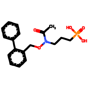 CC(=O)N(CCCP(=O)(O)O)OCc1ccccc1-c1ccccc1